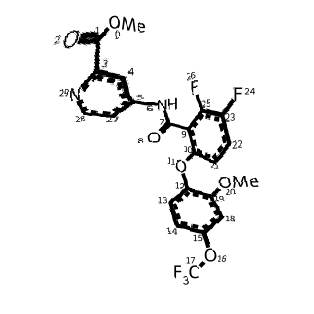 COC(=O)c1cc(NC(=O)c2c(Oc3ccc(OC(F)(F)F)cc3OC)ccc(F)c2F)ccn1